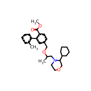 COC(=O)c1ccc(COC(C)CN2CCOCC2C2CCCCC2)cc1-c1ccccc1C